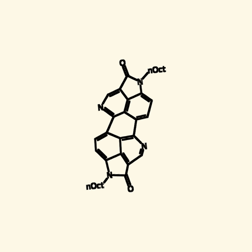 CCCCCCCCN1C(=O)c2cnc3c4ccc5c6c(cnc(c7ccc1c2c73)c64)C(=O)N5CCCCCCCC